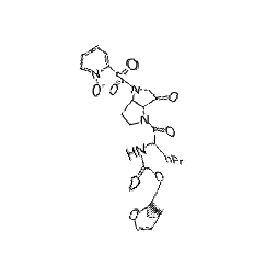 CCCC(NC(=O)Oc1ccco1)C(=O)N1CCC2C1C(=O)CN2S(=O)(=O)c1cccc[n+]1[O-]